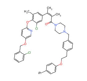 C/C(C(=O)N1CCN(Cc2ccc(CCOc3ccc(C(C)C)cc3)cc2)CC1)=C(\C)c1cc(C)c(Oc2ccc(OCc3ccccc3Cl)cn2)c(Cl)c1